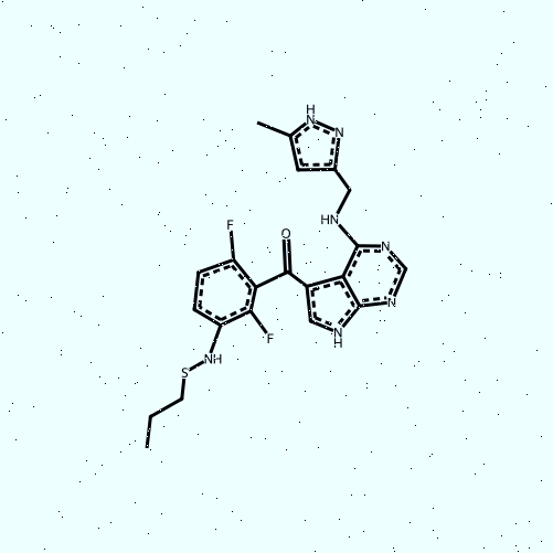 CCCSNc1ccc(F)c(C(=O)c2c[nH]c3ncnc(NCc4cc(C)[nH]n4)c23)c1F